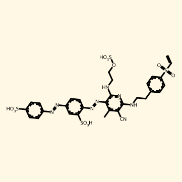 C=CS(=O)(=O)c1ccc(CCNc2nc(NCCOS(=O)(=O)O)c(/N=N/c3ccc(/N=N/c4ccc(S(=O)(=O)O)cc4)cc3S(=O)(=O)O)c(C)c2C#N)cc1